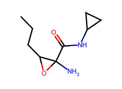 CCCC1OC1(N)C(=O)NC1CC1